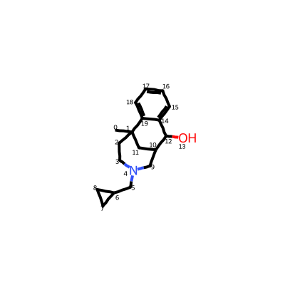 CC12CCN(CC3CC3)CC(C1)C(O)c1ccccc12